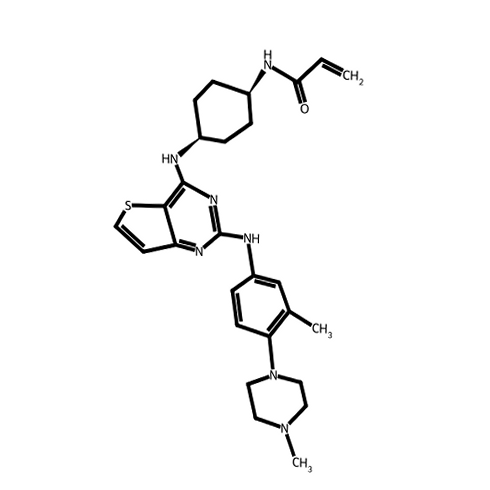 C=CC(=O)N[C@H]1CC[C@@H](Nc2nc(Nc3ccc(N4CCN(C)CC4)c(C)c3)nc3ccsc23)CC1